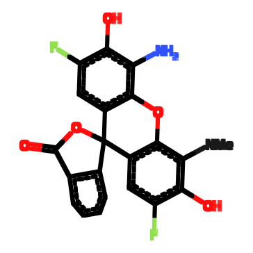 CNc1c(O)c(F)cc2c1Oc1c(cc(F)c(O)c1N)C21OC(=O)c2ccccc21